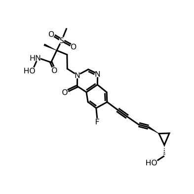 C[C@@](CCn1cnc2cc(C#CC#C[C@H]3C[C@@H]3CO)c(F)cc2c1=O)(C(=O)NO)S(C)(=O)=O